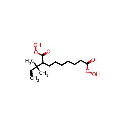 C=CC(C)(C)C(CCCCCCC(=O)OO)C(=O)OO